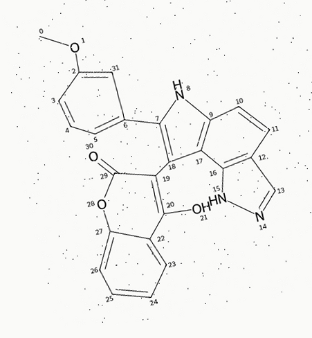 COc1cccc(-c2[nH]c3ccc4cn[nH]c4c3c2-c2c(O)c3ccccc3oc2=O)c1